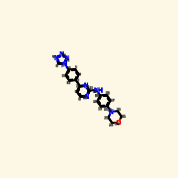 c1cc(-c2ccc(-n3cnnn3)cc2)nc(Nc2ccc(N3CCOCC3)cc2)n1